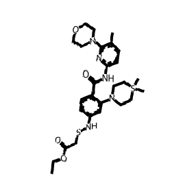 CCOC(=O)CSNc1ccc(C(=O)Nc2ccc(C)c(N3CCOCC3)n2)c(N2CCS(C)(C)CC2)c1